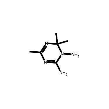 CC1=NC(C)(C)N(N)C(N)=N1